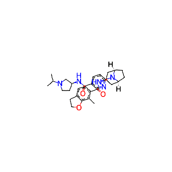 Cc1c(C(=O)N[C@H]2C[C@H]3CC[C@@H](C2)N3c2ccc(C(=O)N[C@H]3CCN(C(C)C)C3)cn2)ccc2c1OCC2